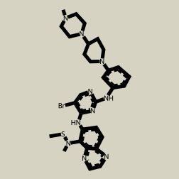 CSN(C)c1c(Nc2nc(Nc3cccc(N4CCC(N5CCN(C)CC5)CC4)c3)ncc2Br)ccc2nccnc12